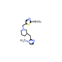 CC(=O)Nc1ncc(CN2CCCC(Cc3nccn3C)C2)s1